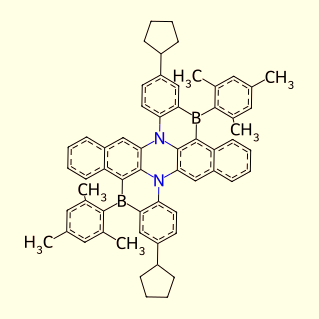 Cc1cc(C)c(B2c3cc(C4CCCC4)ccc3N3c4cc5ccccc5c5c4N(c4ccc(C6CCCC6)cc4B5c4c(C)cc(C)cc4C)c4cc5ccccc5c2c43)c(C)c1